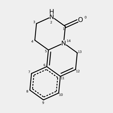 O=C1NCCC2=c3ccccc3=CCN12